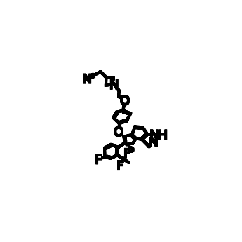 CC(F)(F)c1cc(F)ccc1-c1sc2c(ccc3[nH]ncc32)c1Oc1ccc(OCCN2CC(CC#N)C2)cc1